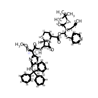 C#CCN(C(=O)OC(C)(C)C)C(OC(=O)C1=CCS[C@H]2C(NC(=O)/C(=N\OC)c3csc(NC(c4ccccc4)(c4ccccc4)c4ccccc4)n3)C(=O)N12)Sc1ccncc1